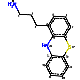 NCCCc1cccc2c1Nc1ccccc1S2